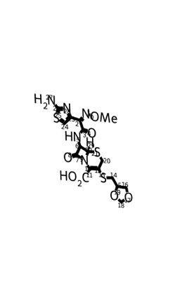 CO/N=C(\C(=O)NC1C(=O)N2C(C(=O)O)=C(SCC3COCO3)CS[C@@H]12)c1csc(N)n1